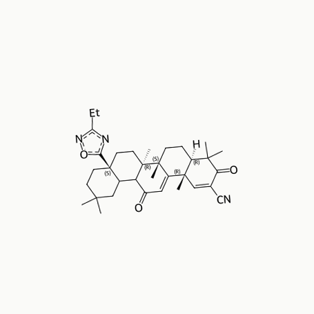 CCc1noc([C@]23CCC(C)(C)CC2C2C(=O)C=C4[C@@]5(C)C=C(C#N)C(=O)C(C)(C)[C@@H]5CC[C@@]4(C)[C@]2(C)CC3)n1